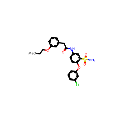 COCCOc1cccc(CC(=O)Nc2ccc(Oc3cccc(Cl)c3)c(S(N)(=O)=O)c2)c1